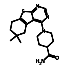 CC1(C)CCc2sc3ncnc(N4CCC(C(N)=O)CC4)c3c2C1